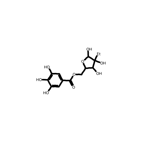 CCC1(O)C(O)OC(COC(=O)c2cc(O)c(O)c(O)c2)C1O